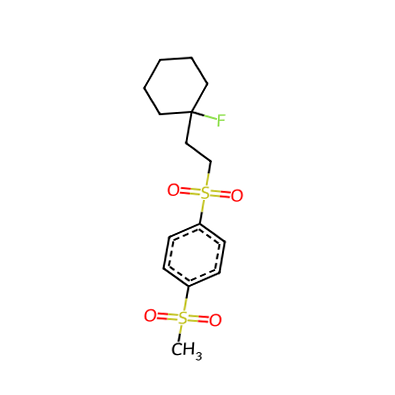 CS(=O)(=O)c1ccc(S(=O)(=O)CCC2(F)CCCCC2)cc1